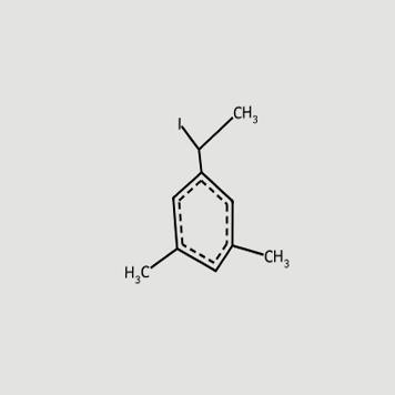 Cc1cc(C)cc(C(C)I)c1